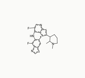 CC1C(c2cc3c(Nc4c(F)cc5scnc5c4F)c(F)cnc3s2)CCCN1C